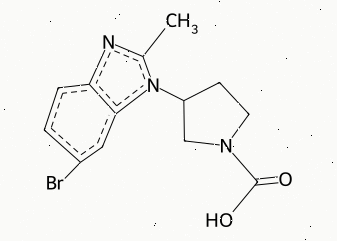 Cc1nc2ccc(Br)cc2n1C1CCN(C(=O)O)C1